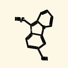 O=C(O)c1c2ccc(O)cc2n2ccccc12